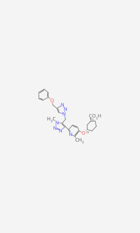 Cc1nc(-c2nnn(C)c2Cn2cc(COc3ccccc3)nn2)ccc1O[C@H]1CCC[C@H](C(=O)O)C1